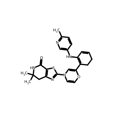 Cc1ccc(NC2=C(C3=CN(c4nc5c(s4)C(=O)NC(C)(C)C5)C=CO3)CCC=C2)cn1